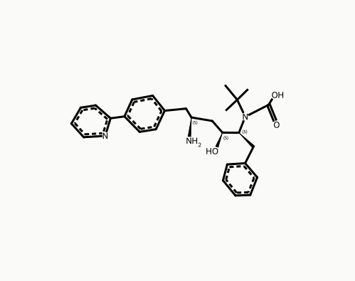 CC(C)(C)N(C(=O)O)[C@@H](Cc1ccccc1)[C@@H](O)C[C@@H](N)Cc1ccc(-c2ccccn2)cc1